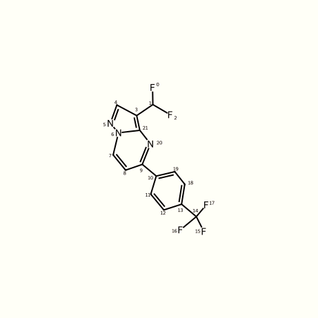 FC(F)c1cnn2ccc(-c3ccc(C(F)(F)F)cc3)nc12